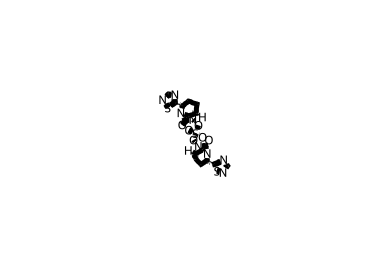 O=C1N2C[C@@H](CC[C@H]2c2ncns2)N1OS(=O)(=O)ON1C(=O)N2C[C@H]1CC[C@H]2c1ncns1